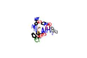 C[C@@H](Oc1cc(-n2cnc3cc(-c4cnn(C)c4)c(OC4CCN(C(=O)OC(C)(C)C)CC4)cc32)sc1C(N)=O)c1ccccc1Cl